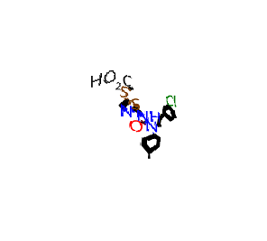 C[C@H]1CC[C@H](N(CCc2cccc(Cl)c2)C(=O)Nc2ncc(SCC(=O)O)s2)CC1